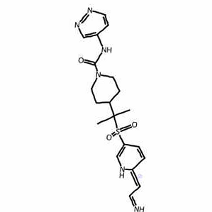 CC(C)(C1CCN(C(=O)Nc2ccnnc2)CC1)S(=O)(=O)C1=CN/C(=C\C=N)C=C1